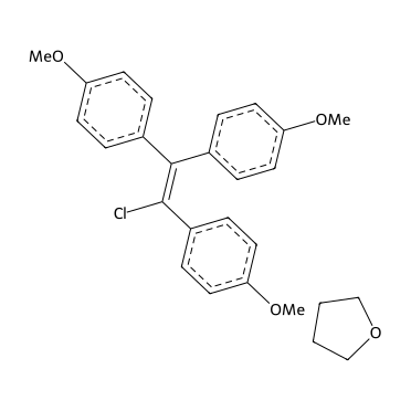 C1CCOC1.COc1ccc(C(Cl)=C(c2ccc(OC)cc2)c2ccc(OC)cc2)cc1